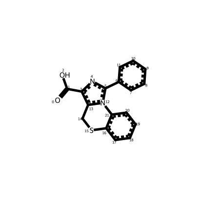 O=C(O)c1nc(-c2ccccc2)n2c1CSc1ccccc1-2